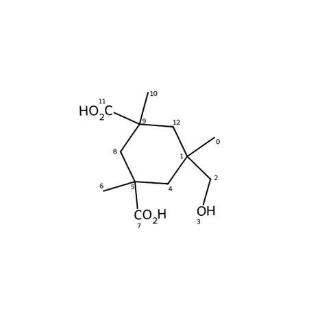 CC1(CO)CC(C)(C(=O)O)CC(C)(C(=O)O)C1